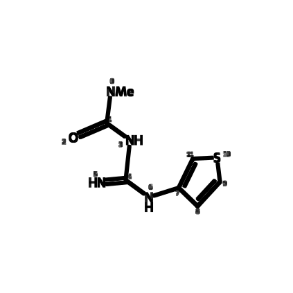 CNC(=O)NC(=N)Nc1ccsc1